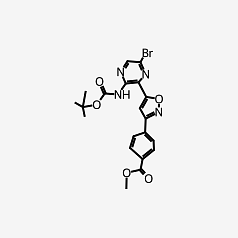 COC(=O)c1ccc(-c2cc(-c3nc(Br)cnc3NC(=O)OC(C)(C)C)on2)cc1